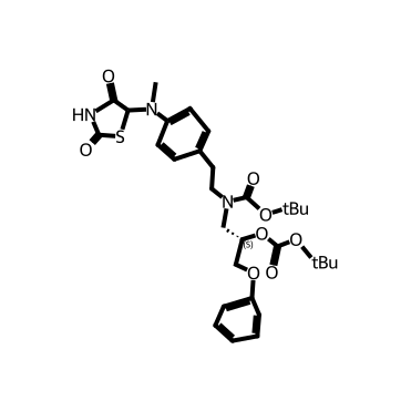 CN(c1ccc(CCN(C[C@@H](COc2ccccc2)OC(=O)OC(C)(C)C)C(=O)OC(C)(C)C)cc1)C1SC(=O)NC1=O